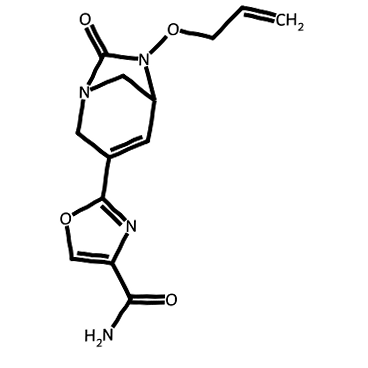 C=CCON1C(=O)N2CC(c3nc(C(N)=O)co3)=CC1C2